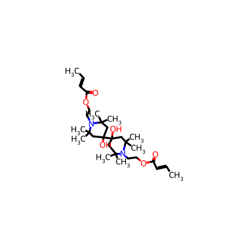 CC=CC(=O)OCCN1C(C)(C)CC(O)(C2(O)CC(C)(C)N(CCOC(=O)C=CC)C(C)(C)C2)CC1(C)C